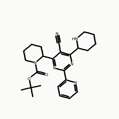 CC(C)(C)OC(=O)N1CCCCC1c1nc(-c2ccccn2)nc(C2CCCCN2)c1C#N